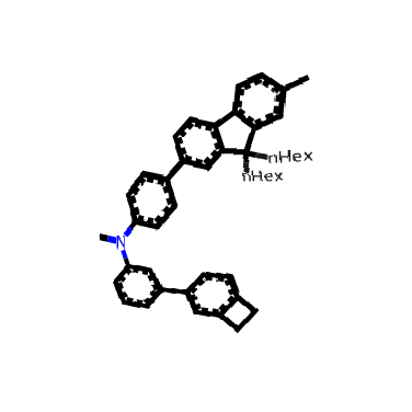 CCCCCCC1(CCCCCC)c2cc(C)ccc2-c2ccc(-c3ccc(N(C)c4cccc(-c5ccc6c(c5)CC6)c4)cc3)cc21